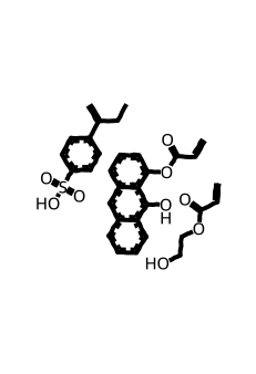 C=C(CC)c1ccc(S(=O)(=O)O)cc1.C=CC(=O)OCCO.C=CC(=O)Oc1cccc2cc3ccccc3c(O)c12